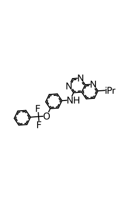 CC(C)c1ccc2c(Nc3cccc(OC(F)(F)c4ccccc4)c3)ncnc2n1